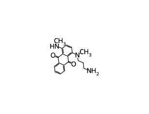 CNc1ccc(N(C)CCCN)c2c1C(=O)c1ccccc1C2=O